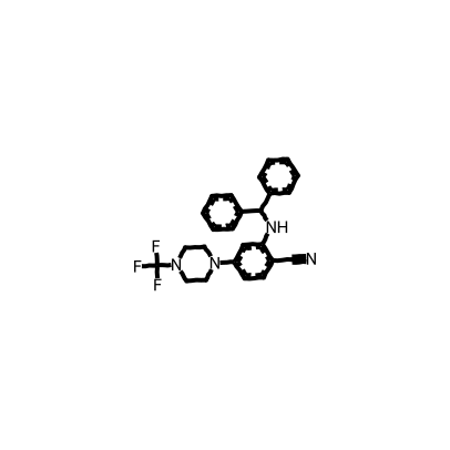 N#Cc1ccc(N2CCN(C(F)(F)F)CC2)cc1NC(c1ccccc1)c1ccccc1